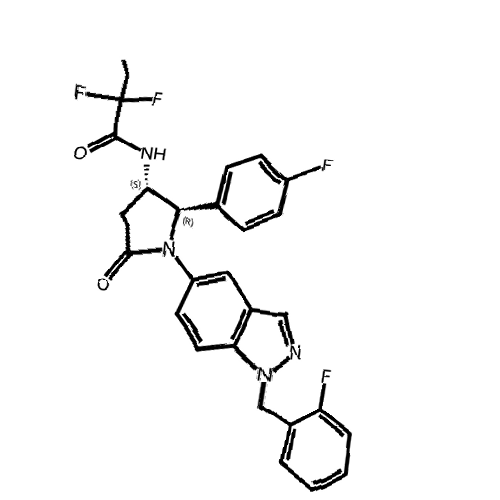 CC(F)(F)C(=O)N[C@H]1CC(=O)N(c2ccc3c(cnn3Cc3ccccc3F)c2)[C@@H]1c1ccc(F)cc1